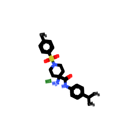 Cc1ccc(S(=O)(=O)N2CCC(N)(C(=O)Nc3ccc(C(C)C)cc3)CC2)cc1.Cl